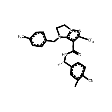 Cc1cc([C@H](C)NC(=O)c2c(C(F)(F)F)nn3c2N(Cc2ccc(C(F)(F)F)cc2)CC3)ccc1C#N